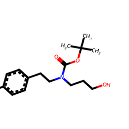 CC(C)(C)OC(=O)N(CCCO)CCc1ccc(Br)cc1